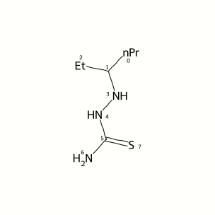 CCCC(CC)NNC(N)=S